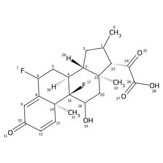 CC1C[C@H]2[C@@H]3CC(F)C4=CC(=O)C=C[C@]4(C)[C@@]3(F)C(O)C[C@]2(C)[C@H]1C(=O)C(=O)O